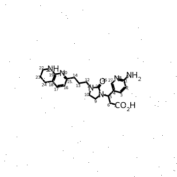 Nc1ccc(C(CC(=O)O)N2CCN(CCCc3ccc4c(n3)NCCC4)C2=O)cn1